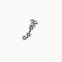 CC(C)C(C(=O)NO)C(=O)Nc1ccc(C#Cc2ccc(CN3CCOCC3)cc2)cc1